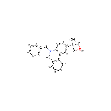 CC1(c2ccc(N(Cc3ccccc3)Cc3ccccc3)cc2)COC1